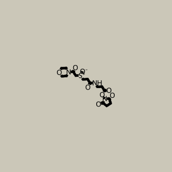 O=C(CC[S+]([O-])CC(=O)N1CCOCC1)NCCC(=O)ON1C(=O)CCC1=O